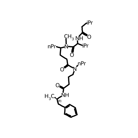 CCCC(CCC(=O)N(CCC)CCCC(=O)N[C@H](C)Cc1ccccc1)N(C)C(=O)C(NC(=O)CC(C)C)C(C)C